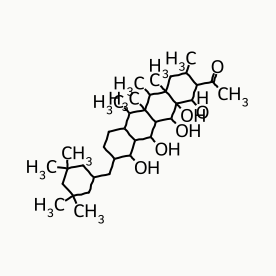 CC(=O)C1C(C)CC2(C)C(C)C3(C)C(C)C4CCC(CC5CC(C)(C)CC(C)(C)C5)C(O)C4C(O)C3C(O)C2(O)C1O